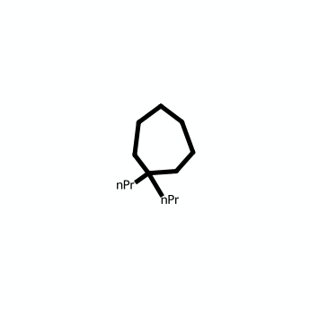 CCCC1(CCC)CCCCCC1